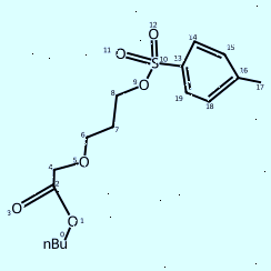 CCCCOC(=O)COCCCOS(=O)(=O)c1ccc(C)cc1